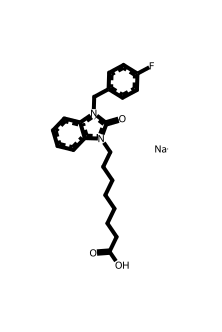 O=C(O)CCCCCCCn1c(=O)n(Cc2ccc(F)cc2)c2ccccc21.[Na]